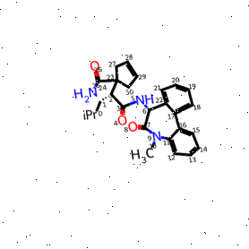 CC(C)C[C@@H](C(=O)N[C@@H]1C(=O)N(C)c2ccccc2-c2ccccc21)C1(C(N)=O)CC=CC1